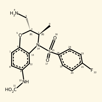 C[C@@H]1[C@@H](CN)Oc2ccc(NC(=O)O)cc2N1S(=O)(=O)c1ccc(F)cc1